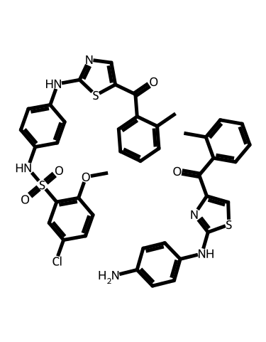 COc1ccc(Cl)cc1S(=O)(=O)Nc1ccc(Nc2ncc(C(=O)c3ccccc3C)s2)cc1.Cc1ccccc1C(=O)c1csc(Nc2ccc(N)cc2)n1